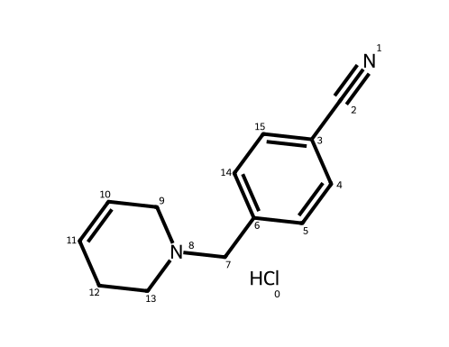 Cl.N#Cc1ccc(CN2CC=CCC2)cc1